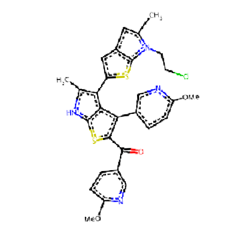 COc1ccc(C(=O)c2sc3[nH]c(C)c(-c4cc5cc(C)n(CCCl)c5s4)c3c2-c2ccc(OC)nc2)cn1